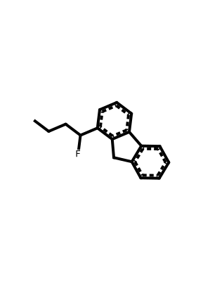 CCCC(F)c1cccc2c1Cc1ccccc1-2